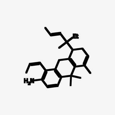 CC=CC(C)(CC)C1CC=C(C)C2=C1Cc1c(ccc(N)c1/C=C\C)C2(C)C